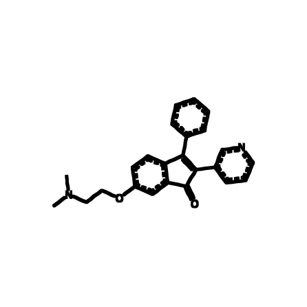 CN(C)CCOc1ccc2c(c1)C(=O)C(c1cccnc1)=C2c1ccccc1